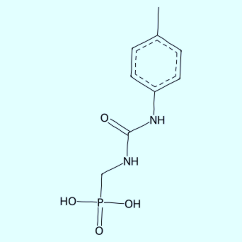 Cc1ccc(NC(=O)NCP(=O)(O)O)cc1